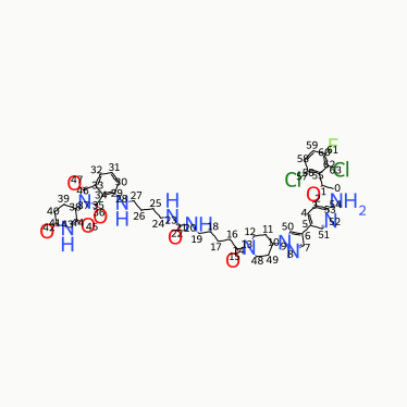 CC(Oc1cc(-c2cnn(C3CCN(C(=O)CCCCNC(=O)NCCCCNc4cccc5c4C(=O)N(C4CCC(=O)NC4=O)C5=O)CC3)c2)cnc1N)c1c(Cl)ccc(F)c1Cl